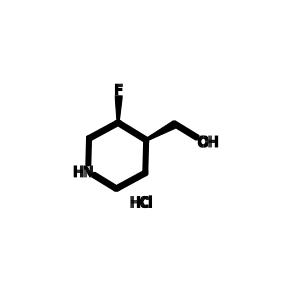 Cl.OC[C@H]1CCNC[C@H]1F